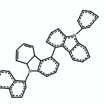 C1=CC2c3c(-c4cccc5c4c4ccccc4n5-c4ccccc4)cccc3N(c3cccc4ccccc34)C2C=C1